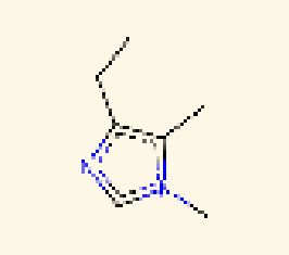 CCc1ncn(C)c1C